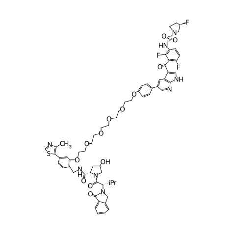 Cc1ncsc1-c1ccc(CNC(=O)[C@@H]2C[C@@H](O)CN2C(=O)[C@H](C(C)C)N2Cc3ccccc3C2=O)c(OCCOCCOCCOCCOCCOc2ccc(-c3cnc4[nH]cc(C(=O)c5c(F)ccc(NS(=O)(=O)N6CC[C@@H](F)C6)c5F)c4c3)cc2)c1